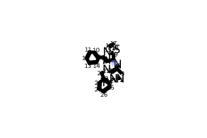 CC(C)n1ncc(/N=C2\C=C(c3ccccc3)[n+]3ccsc32)c1NCc1ccccc1